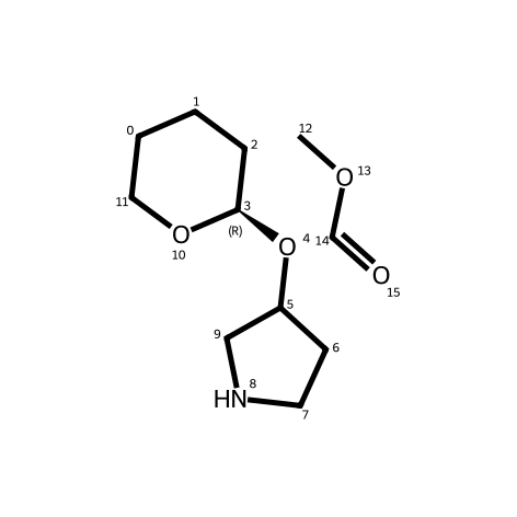 C1CC[C@@H](OC2CCNC2)OC1.COC=O